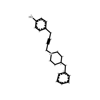 Oc1ccc(CC#CCN2CCC(Cc3ccccc3)CC2)cc1